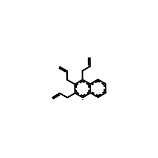 C=CCc1[c]c2ccccc2c(CC=C)c1CC=C